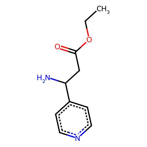 CCOC(=O)CC(N)c1ccncc1